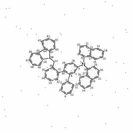 c1ccc(-c2cc(N(c3cccc4ccccc34)c3cccc4ccccc34)ccc2-c2ccccc2CC2c3ccccc3-c3ccccc32)cc1